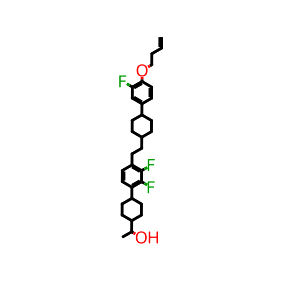 C=CCCOc1ccc(C2CCC(CCc3ccc(C4CCC(C(C)O)CC4)c(F)c3F)CC2)cc1F